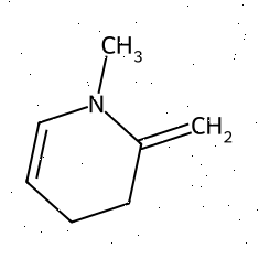 C=C1CCC=CN1C